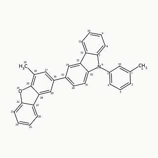 Cc1cccc(-n2c3ccccc3c3cc(-c4cc(C)c5oc6ccccc6c5c4)ccc32)c1